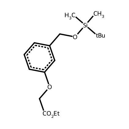 CCOC(=O)COc1cccc(CO[Si](C)(C)C(C)(C)C)c1